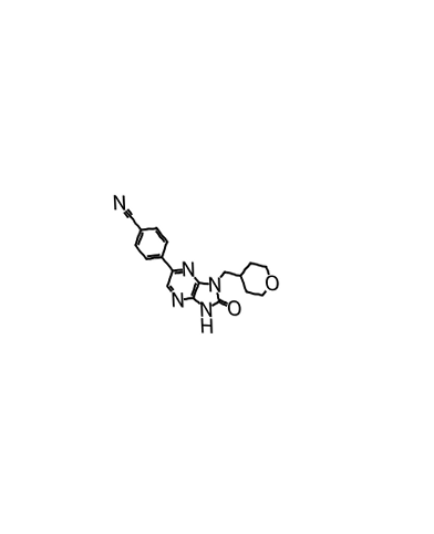 N#Cc1ccc(-c2cnc3[nH]c(=O)n(CC4CCOCC4)c3n2)cc1